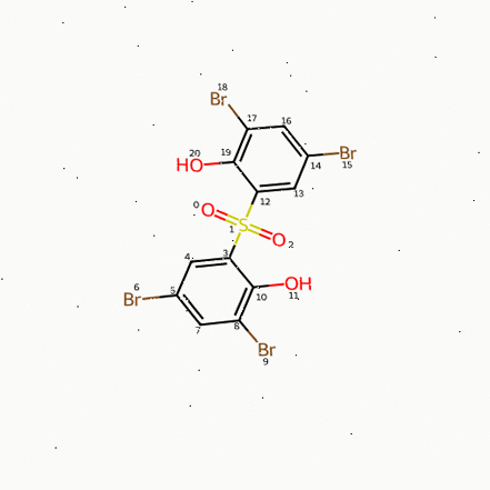 O=S(=O)(c1cc(Br)cc(Br)c1O)c1cc(Br)cc(Br)c1O